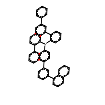 c1ccc(-c2cccc(-c3ccccc3N(c3ccc(-c4cccc(-c5cccc6ccccc56)c4)cc3)c3ccccc3-c3ccccc3)c2)cc1